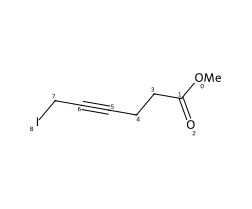 COC(=O)CCC#CCI